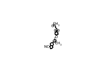 C[C@@H]1C[C@H](COc2ccc(S(=O)(=O)CCC[S+](C)[O-])cc2)CN1C1CCc2c(C#N)cccc2C1